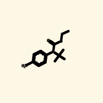 CCOC(=O)N(c1ccc(N)cc1)C(C)(C)C